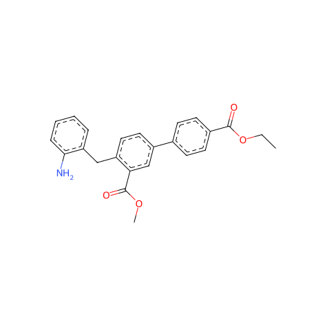 CCOC(=O)c1ccc(-c2ccc(Cc3ccccc3N)c(C(=O)OC)c2)cc1